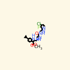 COC(=O)c1c(Cn2cc(C(=O)NCc3ncn4ccc(Cl)c(F)c34)nn2)[nH]c2cc(C3CC3)ccc12